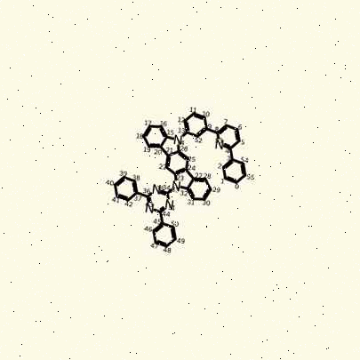 c1ccc(-c2cccc(-c3cccc(-n4c5ccccc5c5cc6c(cc54)c4ccccc4n6-c4nc(-c5ccccc5)nc(-c5ccccc5)n4)c3)n2)cc1